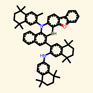 Cc1cc2c(cc1N1c3ccc4c(oc5ccccc54)c3Bc3c(-c4cc5c(cc4Nc4ccc6c(c4)C(C)(C)CCC6(C)C)C(C)(C)CCC5(C)C)cc4ccccc4c31)C(C)(C)CCC2(C)C